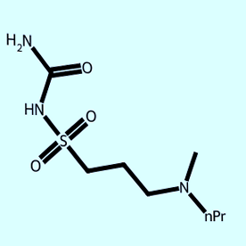 CCCN(C)CCCS(=O)(=O)NC(N)=O